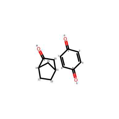 O=C1C=CC(=O)C=C1.O=C1CC2CCC1C2